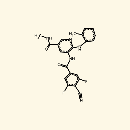 CNC(=O)c1cnc(Nc2ccccc2C)c(NC(=O)c2cc(F)c(C#N)c(F)c2)c1